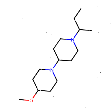 CCC(C)N1CCC(N2CCC(OC)CC2)CC1